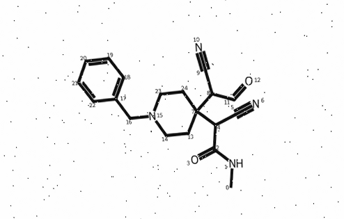 CNC(=O)C(C#N)C1(C(C#N)C=O)CCN(Cc2ccccc2)CC1